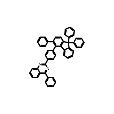 c1ccc(-c2ccc3c(c2-c2ccc(-c4nc(-c5ccccc5)c5ccccc5n4)cc2)-c2ccccc2C3(c2ccccc2)c2ccccc2)cc1